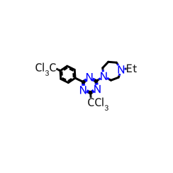 CCN1CCCN(c2nc(-c3ccc(C(Cl)(Cl)Cl)cc3)nc(C(Cl)(Cl)Cl)n2)CC1